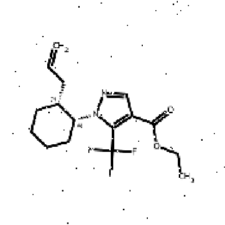 C=CC[C@H]1CCCC[C@H]1n1ncc(C(=O)OCC)c1C(F)(F)F